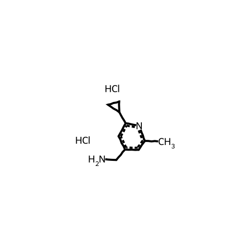 Cc1cc(CN)cc(C2CC2)n1.Cl.Cl